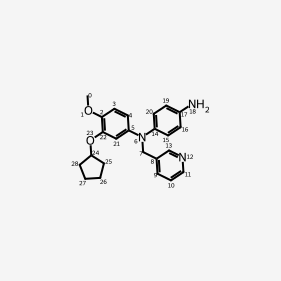 COc1ccc(N(Cc2cccnc2)c2ccc(N)cc2)cc1OC1CCCC1